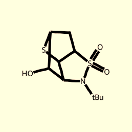 CC(C)(C)N1C2C(O)C3CC(C2S3)S1(=O)=O